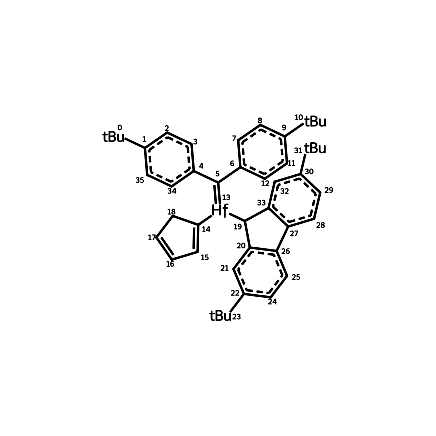 CC(C)(C)c1ccc([C](c2ccc(C(C)(C)C)cc2)=[Hf]([C]2=CC=CC2)[CH]2c3cc(C(C)(C)C)ccc3-c3ccc(C(C)(C)C)cc32)cc1